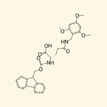 COc1cc(OC)c(CNC(=O)CC[C@H](NC(=O)OCC2c3ccccc3-c3ccccc32)C(=O)O)c(OC)c1